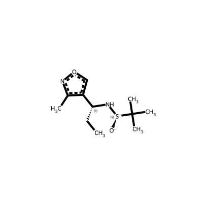 CC[C@@H](N[S@+]([O-])C(C)(C)C)c1conc1C